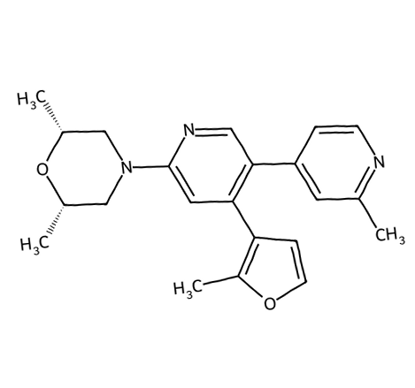 Cc1cc(-c2cnc(N3C[C@@H](C)O[C@@H](C)C3)cc2-c2ccoc2C)ccn1